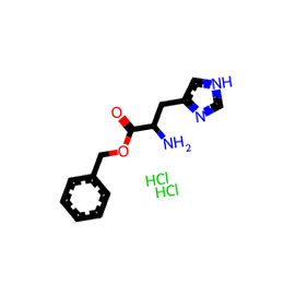 Cl.Cl.NC(Cc1c[nH]cn1)C(=O)OCc1ccccc1